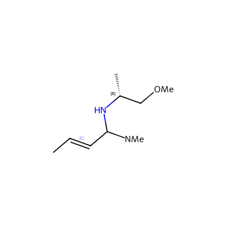 C/C=C/C(NC)N[C@H](C)COC